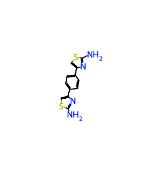 Nc1nc(-c2ccc(-c3csc(N)n3)cc2)cs1